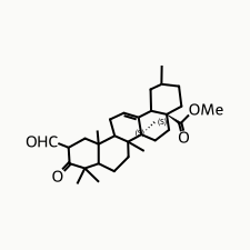 COC(=O)[C@]12CCC(C)CC1C1=CCC3C4(C)CC(C=O)C(=O)C(C)(C)C4CCC3(C)[C@]1(C)CC2